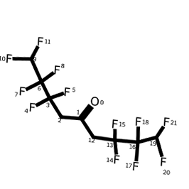 O=C(CC(F)(F)C(F)(F)C(F)F)CC(F)(F)C(F)(F)C(F)F